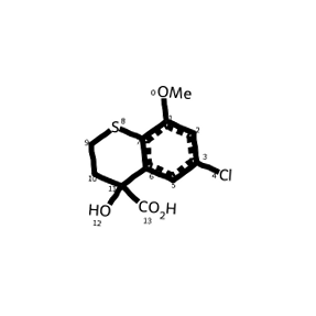 COc1cc(Cl)cc2c1SCCC2(O)C(=O)O